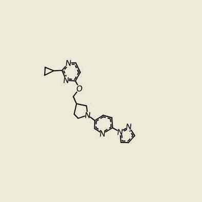 c1cnn(-c2ccc(N3CCC(COc4ccnc(C5CC5)n4)C3)cn2)c1